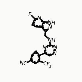 N#Cc1ccc(-c2cnnc(NCc3n[nH]c4nc(F)ccc34)n2)c(C(F)(F)F)c1